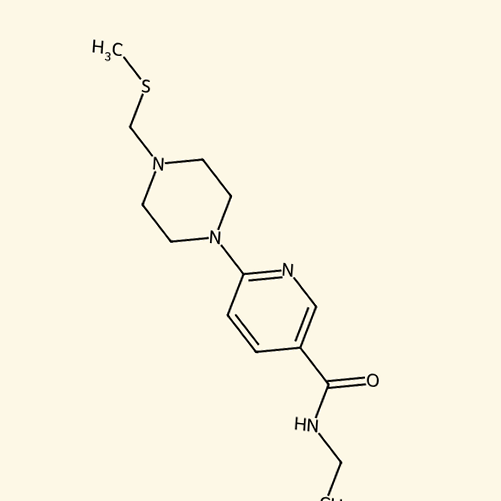 CCNC(=O)c1ccc(N2CCN(CSC)CC2)nc1